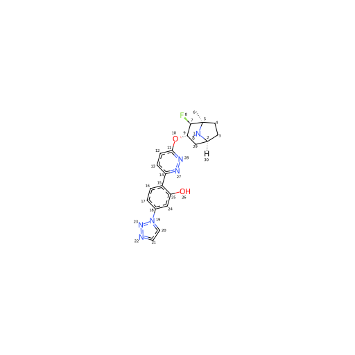 CN1[C@H]2CC[C@]1(C)[C@H](F)[C@@H](Oc1ccc(-c3ccc(-n4ccnn4)cc3O)nn1)C2